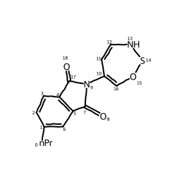 CCCc1ccc2c(c1)C(=O)N(c1cc[nH]soc1)C2=O